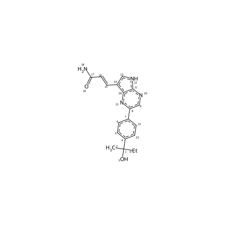 CCC(C)(O)c1ccc(-c2cnc3[nH]cc(/C=C/C(N)=O)c3n2)cc1